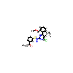 COC(=O)c1cccc(SNc2nc(Cl)c(C)c(-c3c(C)cccc3COC(C)C)n2)c1